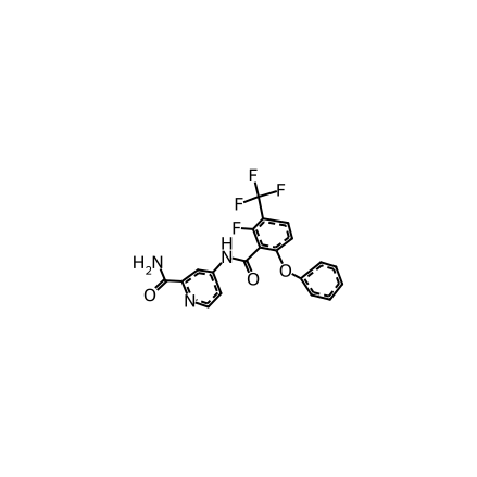 NC(=O)c1cc(NC(=O)c2c(Oc3ccccc3)ccc(C(F)(F)F)c2F)ccn1